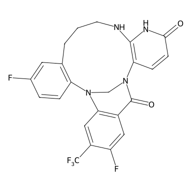 O=C1c2cc(F)c(C(F)(F)F)cc2N2CN1c1ccc(=O)[nH]c1NCCCc1cc(F)ccc12